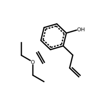 C=C.C=CCc1ccccc1O.CCOCC